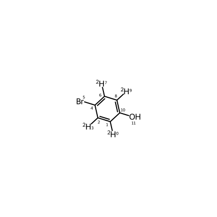 [2H]c1c([2H])c(Br)c([2H])c([2H])c1O